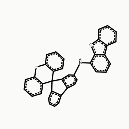 c1ccc2c(c1)Oc1ccccc1C21c2ccccc2-c2ccc(Nc3cccc4c3oc3ccccc34)cc21